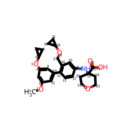 COc1cc(OC2CC2)cc(-c2ccc(NC3(C(=O)O)CCOCC3)cc2COC2CC2)c1